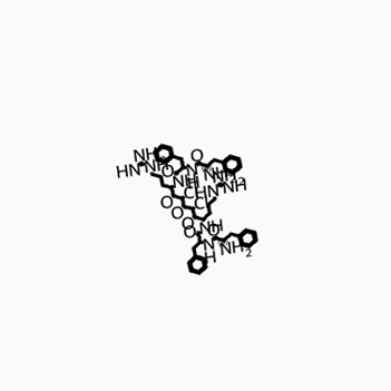 N=C(N)NCCCC(NC(=O)C(Cc1ccccc1)NC(=O)[C@H](N)Cc1ccccc1)C(=O)C(Cl)C(=O)C(Cl)C(=O)C(CCCNC(=N)N)NC(=O)C(Cc1ccccc1)NC(=O)[C@H](N)Cc1ccccc1